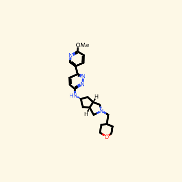 COc1ccc(-c2ccc(N[C@H]3C[C@@H]4CN(CC5CCOCC5)C[C@@H]4C3)nn2)cn1